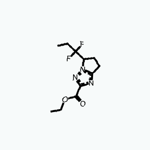 CCOC(=O)c1nc2n(n1)C(C(F)(F)CC)CC2